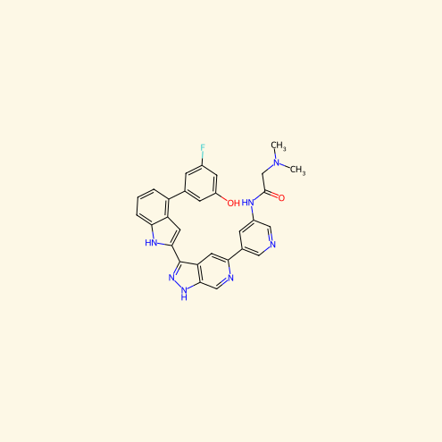 CN(C)CC(=O)Nc1cncc(-c2cc3c(-c4cc5c(-c6cc(O)cc(F)c6)cccc5[nH]4)n[nH]c3cn2)c1